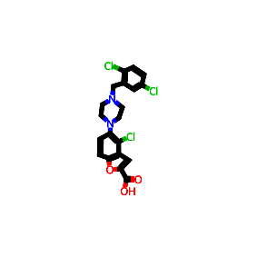 O=C(O)c1cc2c(Cl)c(N3CCN(Cc4cc(Cl)ccc4Cl)CC3)ccc2o1